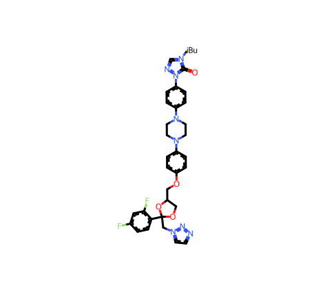 CCC(C)n1cnn(-c2ccc(N3CCN(c4ccc(OCC5COC(Cn6ccnn6)(c6ccc(F)cc6F)O5)cc4)CC3)cc2)c1=O